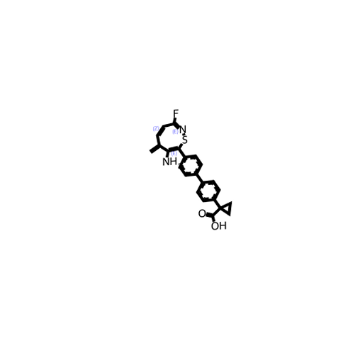 C=C1/C=C\C(F)=N/S/C(c2ccc(-c3ccc(C4(C(=O)O)CC4)cc3)cc2)=C\1N